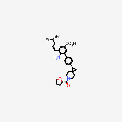 CCCC(CC)C/C=C\c1cc(C(=O)O)cc(-c2ccc([C@H]3CC34CCN(C(=O)[C@H]3CCCO3)CC4)cc2)c1N